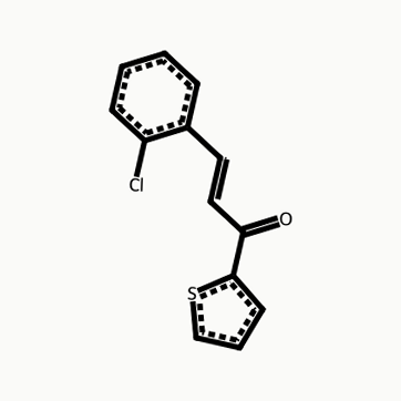 O=C(/C=[C]/c1ccccc1Cl)c1cccs1